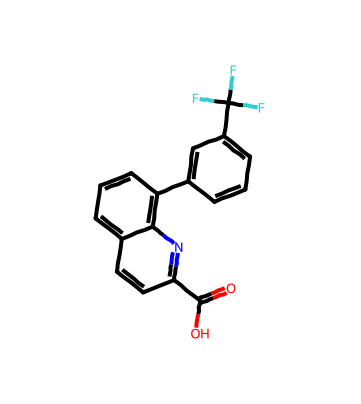 O=C(O)c1ccc2cccc(-c3cccc(C(F)(F)F)c3)c2n1